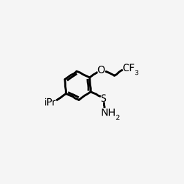 CC(C)c1ccc(OCC(F)(F)F)c(SN)c1